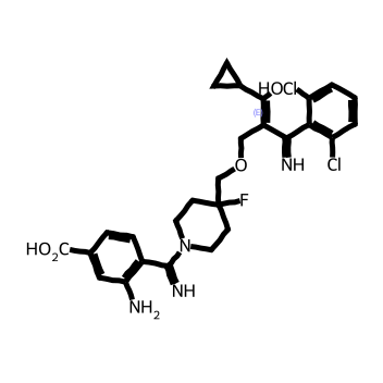 N=C(/C(COCC1(F)CCN(C(=N)c2ccc(C(=O)O)cc2N)CC1)=C(\O)C1CC1)c1c(Cl)cccc1Cl